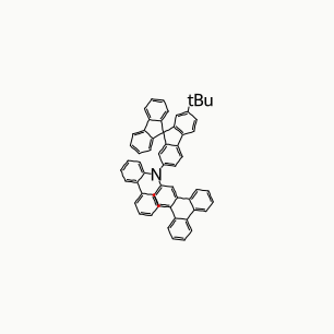 CC(C)(C)c1ccc2c(c1)C1(c3ccccc3-c3ccccc31)c1cc(N(c3ccc4c5ccccc5c5ccccc5c4c3)c3ccccc3-c3ccccc3)ccc1-2